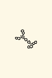 C1=CC2c3cc4ccccc4cc3N(c3ccc(-c4ccc(-c5nc(-c6ccc7ccccc7c6)nc(-c6ccc7ccccc7c6)n5)cc4)cc3)C2c2ccccc21